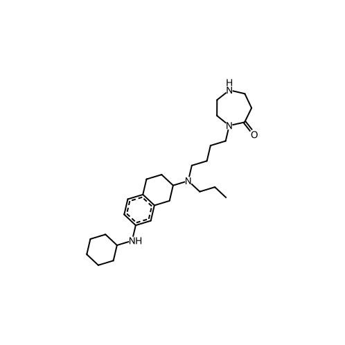 CCCN(CCCCN1CCNCCC1=O)C1CCc2ccc(NC3CCCCC3)cc2C1